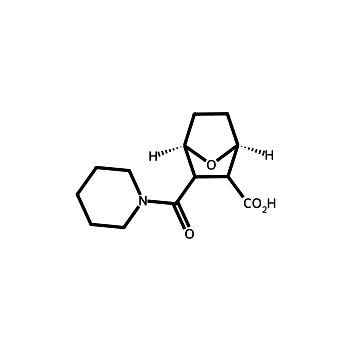 O=C(O)C1C(C(=O)N2CCCCC2)[C@H]2CC[C@@H]1O2